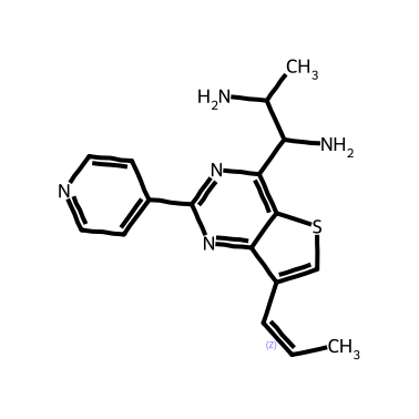 C/C=C\c1csc2c(C(N)C(C)N)nc(-c3ccncc3)nc12